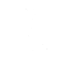 C[C@]12CCC[C@](C)(C1)[C@@H](F)/C(=C/c1nnc(-c3cc4ccncc4cc3O)s1)C2